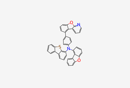 c1ccc2c(c1)oc1cccc(N(c3ccc(-c4cccc5oc6ncccc6c45)cc3)c3cccc4c3sc3ccccc34)c12